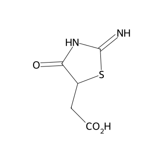 N=C1NC(=O)C(CC(=O)O)S1